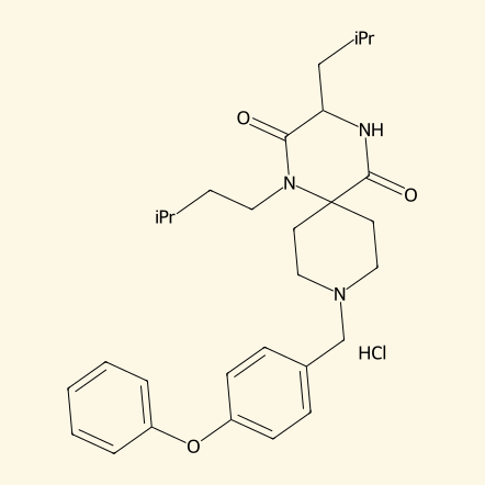 CC(C)CCN1C(=O)C(CC(C)C)NC(=O)C12CCN(Cc1ccc(Oc3ccccc3)cc1)CC2.Cl